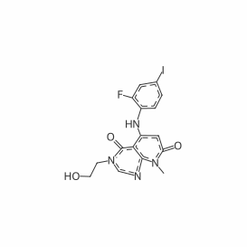 Cn1c(=O)cc(Nc2ccc(I)cc2F)c2c(=O)n(CCO)cnc21